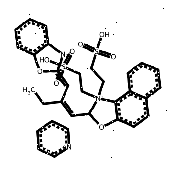 CCC(=CC1Oc2ccc3ccccc3c2[N+]1(CCS(=O)(=O)O)CCS(=O)(=O)O)C=C1Nc2ccccc2O1.c1ccncc1